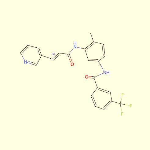 Cc1ccc(NC(=O)c2cccc(C(F)(F)F)c2)cc1NC(=O)/C=C/c1cccnc1